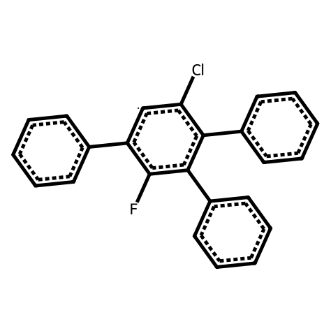 Fc1c(-c2ccccc2)[c]c(Cl)c(-c2ccccc2)c1-c1ccccc1